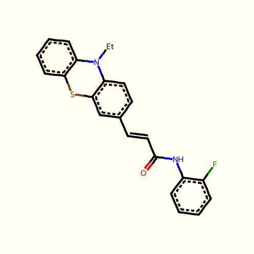 CCN1c2ccccc2Sc2cc(/C=C/C(=O)Nc3ccccc3F)ccc21